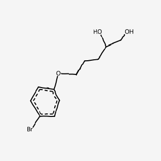 OCC(O)CCCOc1ccc(Br)cc1